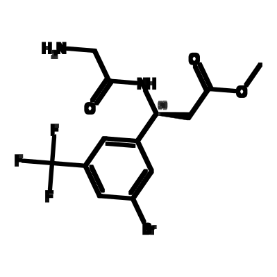 COC(=O)C[C@H](NC(=O)CN)c1cc(Br)cc(C(F)(F)F)c1